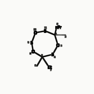 CCCC1(C)OSC(C)(CC)OSOS1